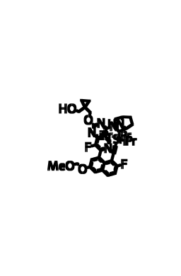 COCOc1cc(-c2ncc3c(N4CC5CCC(C4)N5)nc(OCC4(CO)CC4)nc3c2F)c2c(C#C[Si](C(C)C)(C(C)C)C(C)C)c(F)ccc2c1